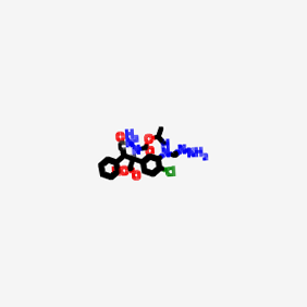 CC(C)OC(=O)N(N)[C@](C(=O)O)(C(=C=O)c1ccccc1)c1ccc(Cl)c(NC=NN)c1